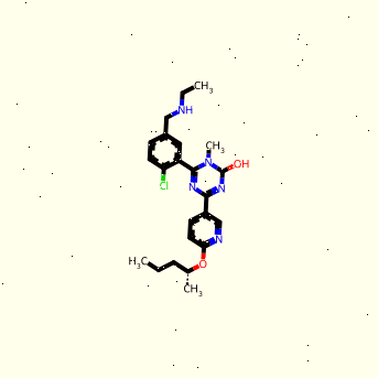 CCC[C@@H](C)Oc1ccc(C2=NC(O)N(C)C(c3cc(CNCC)ccc3Cl)=N2)cn1